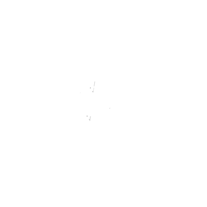 S=c1nc(-c2ccccc2)[nH]o1